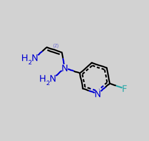 N/C=C\N(N)c1ccc(F)nc1